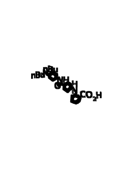 CCCCN(CCCC)c1ccc(NC(=O)c2ccc(Nc3ccccc3C(=O)O)cc2)cc1